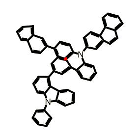 c1ccc(-n2c3ccccc3c3c(-c4cccc(-c5ccccc5N(c5ccc(-c6ccc7ccccc7c6)cc5)c5ccc6c(ccc7ccccc76)c5)c4)cccc32)cc1